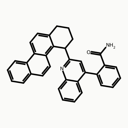 NC(=O)c1ccccc1-c1cc(C2CCCc3ccc4c(ccc5ccccc54)c32)nc2ccccc12